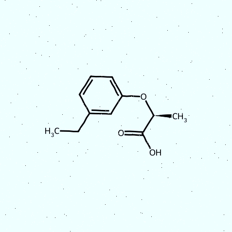 CCc1cccc(O[C@@H](C)C(=O)O)c1